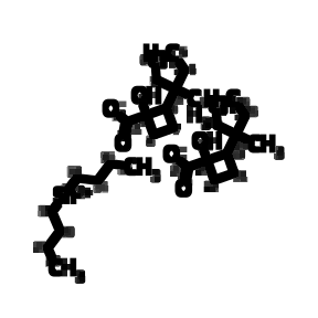 CCC(C)(CC)C1CCC1(O)C(=O)[O-].CCC(C)(CC)C1CCC1(O)C(=O)[O-].CCC[CH2][Sn+2][CH2]CCC